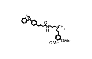 COc1ccc(CCN(C)CCCNC(=O)C/C=C/c2ccc(-n3cnc4ccccc43)cc2)cc1OC